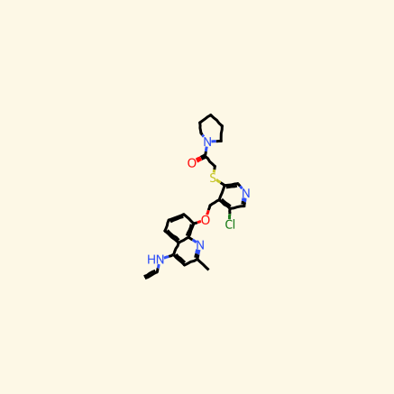 C=CNc1cc(C)nc2c(OCc3c(Cl)cncc3SCC(=O)N3CCCCC3)cccc12